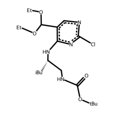 CCOC(OCC)c1cnc(Cl)nc1N[C@H](CNC(=O)OC(C)(C)C)C(C)CC